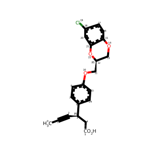 CC#C[C@H](CC(=O)O)c1ccc(OC[C@@H]2COc3ccc(Cl)cc3O2)cc1